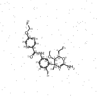 CO[C@H]1[C@@H](CF)OC(N)=N[C@]1(C)c1cc(NC(=O)c2cnc(OCF)cn2)ccc1F